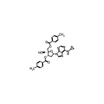 C#C[C@]1(COC(=O)c2ccc(C)cc2)O[C@@H](n2cnc3c(NC4CC4)ncnc32)C[C@@H]1OC(=O)c1ccc(C)cc1